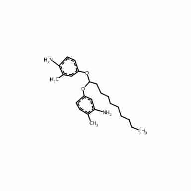 CCCCCCCCCC(Oc1ccc(N)c(C)c1)Oc1ccc(C)c(N)c1